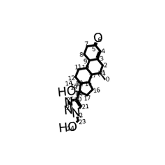 C[C@@H]1CC2=CC(=O)CCC2C2CC[C@@]3(C)C(CC[C@@]3(O)c3cn(CO)nn3)C21